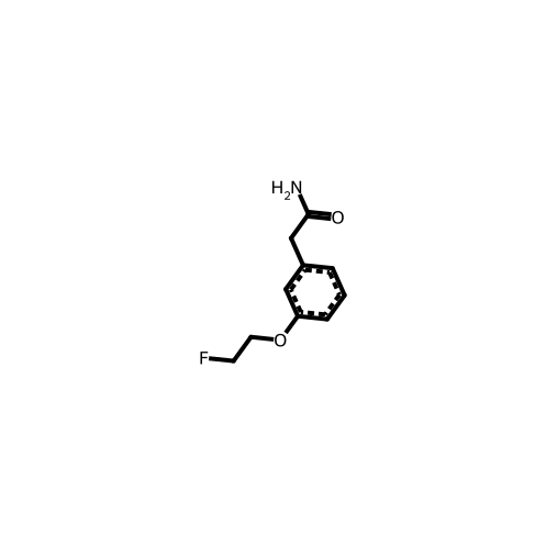 NC(=O)Cc1cccc(OCCF)c1